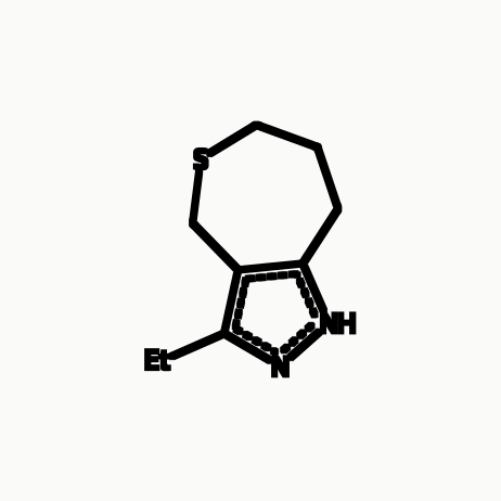 CCc1n[nH]c2c1CSCCC2